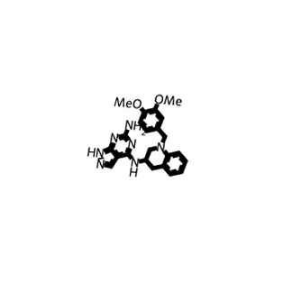 COc1ccc(CN2CC(Nc3nc(N)nc4[nH]ncc34)Cc3ccccc32)cc1OC